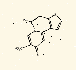 CC(C)C1Cc2sccc2-c2cc(=O)c(C(=O)O)cn21